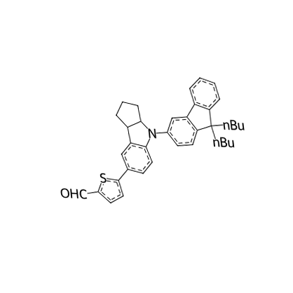 CCCCC1(CCCC)c2ccccc2-c2cc(N3c4ccc(-c5ccc(C=O)s5)cc4C4CCCC43)ccc21